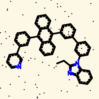 CCc1nc2ccccc2n1-c1cccc(-c2cccc(-c3c4ccccc4c(-c4cccc(-c5cccnc5)c4)c4ccccc34)c2)c1